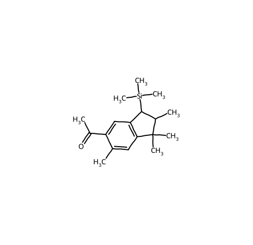 CC(=O)c1cc2c(cc1C)C(C)(C)C(C)C2[Si](C)(C)C